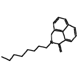 C=C1c2cccc3cccc(c23)CN1CCCCCCCC